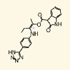 CC/C(Nc1ccc(-c2nnn[nH]2)cc1)=C(\C)OC(=O)C1C(=O)Nc2ccccc21